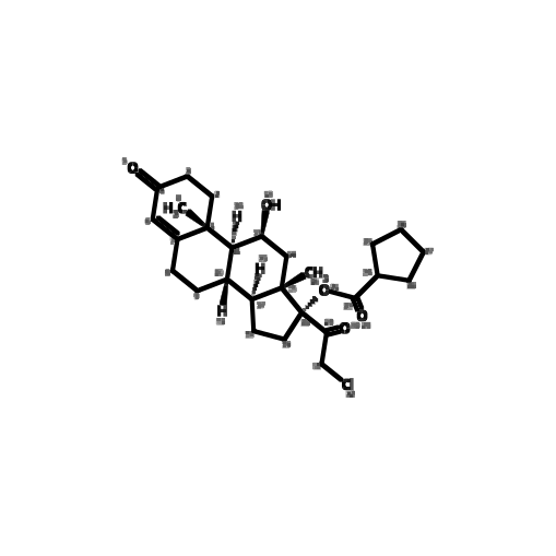 C[C@]12CCC(=O)C=C1CC[C@@H]1[C@@H]2[C@@H](O)C[C@@]2(C)[C@H]1CC[C@]2(OC(=O)C1CCCC1)C(=O)CCl